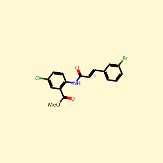 COC(=O)c1cc(Cl)ccc1NC(=O)/C=C/c1cccc(Br)c1